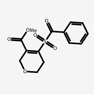 COC(=O)C1=C(S(=O)(=O)C(=O)c2ccccc2)CCOC1